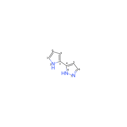 c1c[nH]c(-c2ccn[nH]2)c1